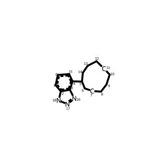 c1cc2c(c(C3CCCCCCCCC3)c1)N=N[N]2